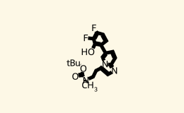 CN(CCc1cnc2ccc(-c3ccc(F)c(F)c3O)cn12)C(=O)OC(C)(C)C